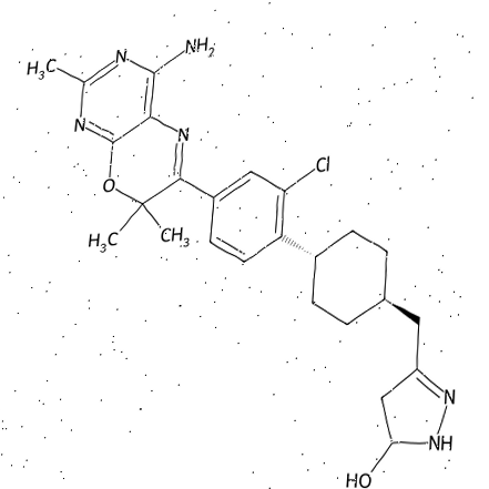 Cc1nc(N)c2c(n1)OC(C)(C)C(c1ccc([C@H]3CC[C@H](CC4=NNC(O)C4)CC3)c(Cl)c1)=N2